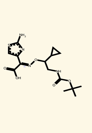 CC(C)(C)OC(=O)NCC(O/N=C(/C(=O)O)c1csc(N)n1)C1CC1